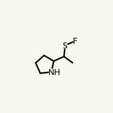 CC(SF)C1CCCN1